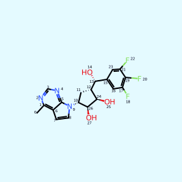 Cc1ncnc2c1ccn2[C@@H]1C[C@H]([C@H](O)c2cc(F)c(F)c(F)c2)[C@@H](O)[C@H]1O